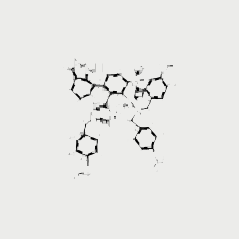 COc1ccc(CN(Cc2ccc(OC)cc2)S(=O)(=O)c2c(S(C)(=O)=O)ccc(-c3cccc4cn[nH]c34)c2-c2nnn(Cc3ccc(OC)cc3)n2)cc1